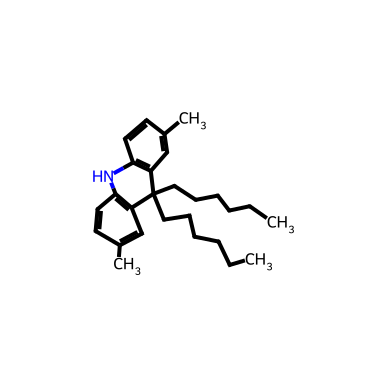 CCCCCCC1(CCCCCC)c2cc(C)ccc2Nc2ccc(C)cc21